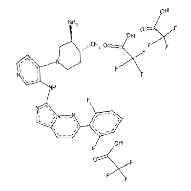 C[C@@H]1CCN(c2ccncc2Nc2ncc3ccc(-c4c(F)cccc4F)nn23)C[C@H]1N.O=C(O)C(F)(F)F.O=C(O)C(F)(F)F.O=C(O)C(F)(F)F